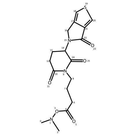 CN(C)OC(=O)CCCN1C(=O)CCC(N2Cc3cscc3C2=O)C1=O